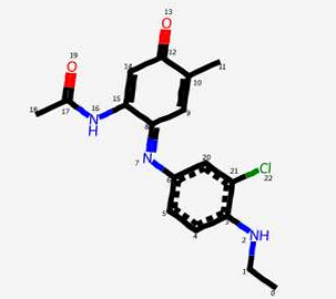 CCNc1ccc(N=C2C=C(C)C(=O)C=C2NC(C)=O)cc1Cl